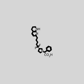 O=C(O)[C@@H](c1ccccc1)N1CC[C@@H](C(F)(F)CCCCc2ccc3c(n2)NCCC3)C1